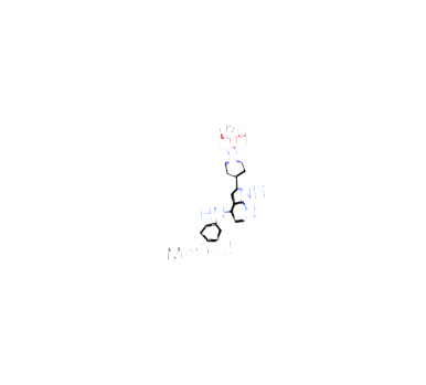 COc1ccc(Nc2ccnc3[nH]c(C4=CCN(C(=O)OC(C)(C)C)CC4)cc23)cc1Cl